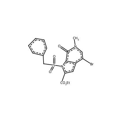 CCOC(=O)c1cc2c(Br)cn(C)c(=O)c2n1S(=O)(=O)Cc1ccccc1